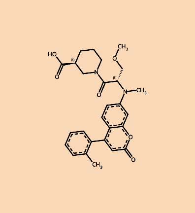 COC[C@@H](C(=O)N1CCC[C@H](C(=O)O)C1)N(C)c1ccc2c(-c3ccccc3C)cc(=O)oc2c1